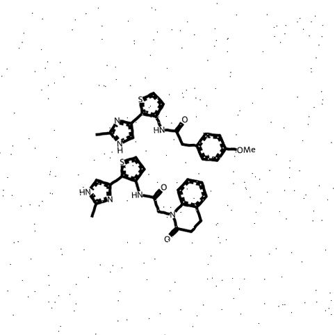 COc1ccc(CC(=O)Nc2ccsc2-c2c[nH]c(C)n2)cc1.Cc1nc(-c2sccc2NC(=O)CN2C(=O)CCc3ccccc32)c[nH]1